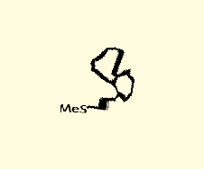 CSCCC1=CCCCc2ccccc21